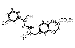 CCOC(=O)[C@@H]1COc2cc(C[C@@H](C)NCC(O)c3cccc(Cl)c3)ccc2O1